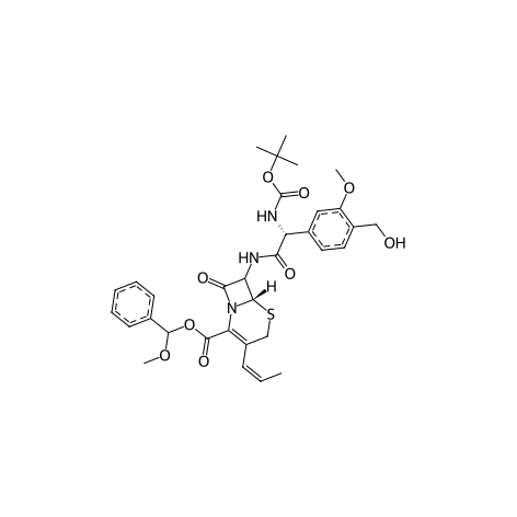 C/C=C\C1=C(C(=O)OC(OC)c2ccccc2)N2C(=O)C(NC(=O)[C@H](NC(=O)OC(C)(C)C)c3ccc(CO)c(OC)c3)[C@@H]2SC1